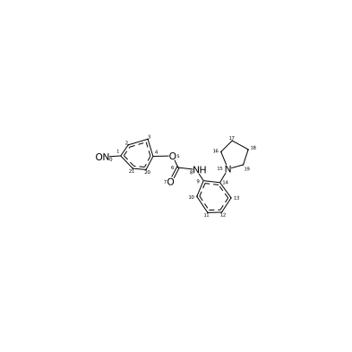 O=Nc1ccc(OC(=O)Nc2ccccc2N2CCCC2)cc1